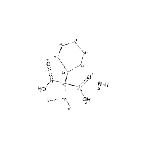 CC(C)C(C(=O)O)(C(=O)O)C1CCCCC1.[NaH]